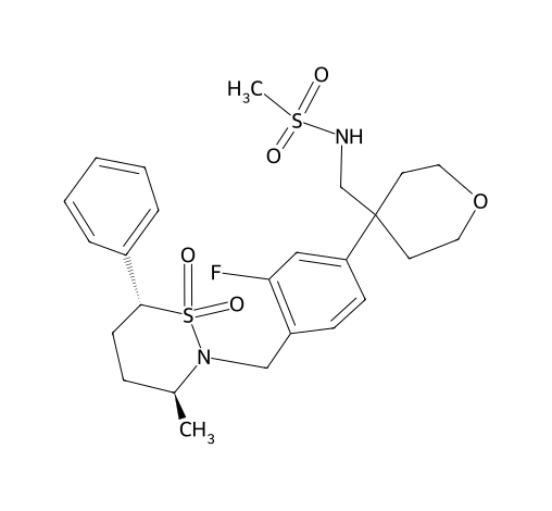 C[C@H]1CC[C@H](c2ccccc2)S(=O)(=O)N1Cc1ccc(C2(CNS(C)(=O)=O)CCOCC2)cc1F